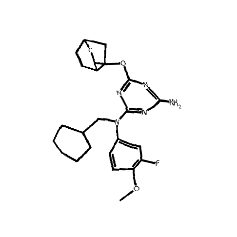 COc1ccc(N(CC2CCCCC2)c2nc(N)nc(OC3CC4CCC3CC4)n2)cc1F